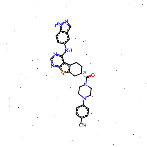 N#Cc1ccc(N2CCN(C(=O)[C@H]3CCc4c(sc5ncnc(Nc6ccc7[nH]ncc7c6)c45)C3)CC2)cc1